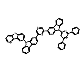 c1ccc(-c2nc(-c3ccccc3)nc(-n3c4ccccc4c4cc(-c5cncc(-c6ccc7c8ccccc8n(-c8ccc9oc%10cccnc%10c9c8)c7c6)n5)ccc43)n2)cc1